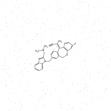 C/C(C#N)=C1/c2ccc(Cn3c(CN(C)C)nc4ccccc43)cc2COc2cc(F)ccc21